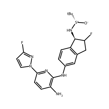 CC(C)(C)[S@+]([O-])N[C@@H]1c2ccc(Nc3nc(-n4ccc(F)n4)ccc3N)cc2CC1F